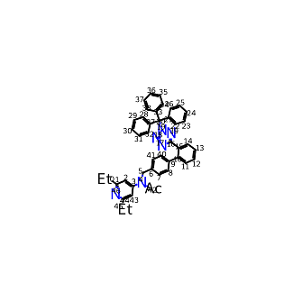 CCc1cc(N(Cc2ccc(-c3ccccc3-c3nnn(C(c4ccccc4)(c4ccccc4)c4ccccc4)n3)cc2)C(C)=O)cc(CC)n1